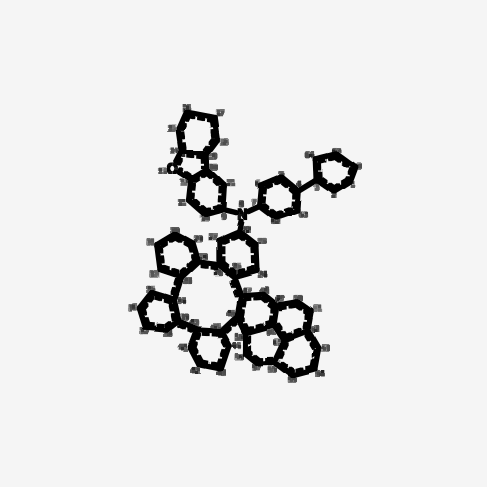 c1ccc(-c2ccc(N(c3ccc4oc5ccccc5c4c3)c3ccc4c(c3)c3ccccc3c3ccccc3c3ccccc3c3c4cc4ccc5cccc6ccc3c4c56)cc2)cc1